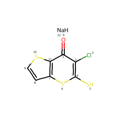 O=c1c(Cl)c(S)sc2ccsc12.[NaH]